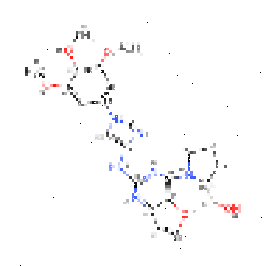 COc1cc(-n2cnc(Nc3nc(N4CCC[C@@H]4CO)c4occc4n3)c2)cc(OC)c1OC